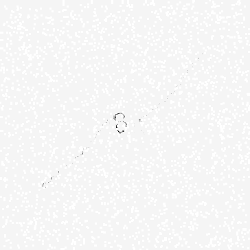 CCCCCCCCCCCCCCCCCC[N+](C)(C)c1cccc2c([N+](C)(C)CCCCCCCCCCCCCCCCCC)cccc12